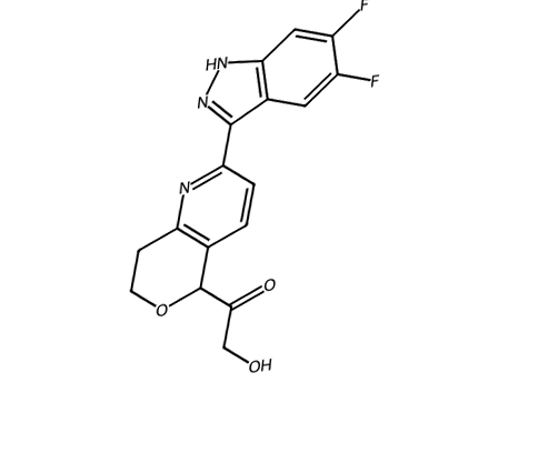 O=C(CO)C1OCCc2nc(-c3n[nH]c4cc(F)c(F)cc34)ccc21